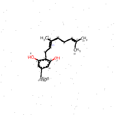 CCCCCCCCCc1cc(O)c(C/C=C(\C)CCC=C(C)C)c(O)c1